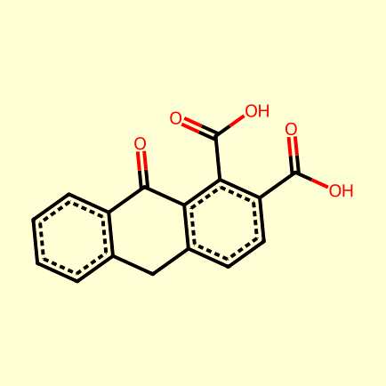 O=C(O)c1ccc2c(c1C(=O)O)C(=O)c1ccccc1C2